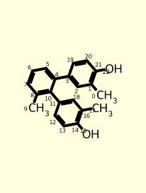 Cc1cc(-c2cccc(C)c2-c2ccc(O)c(C)c2)ccc1O